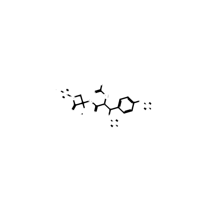 COC1(NC(=O)C(NC(C)=O)C(OS(=O)(=O)O)c2ccc(OS(=O)(=O)O)cc2)CN(S(=O)(=O)O)C1=O